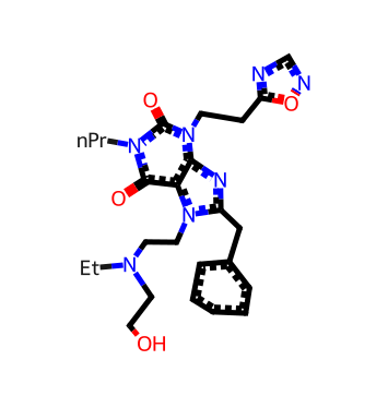 CCCn1c(=O)c2c(nc(Cc3ccccc3)n2CCN(CC)CCO)n(CCc2ncno2)c1=O